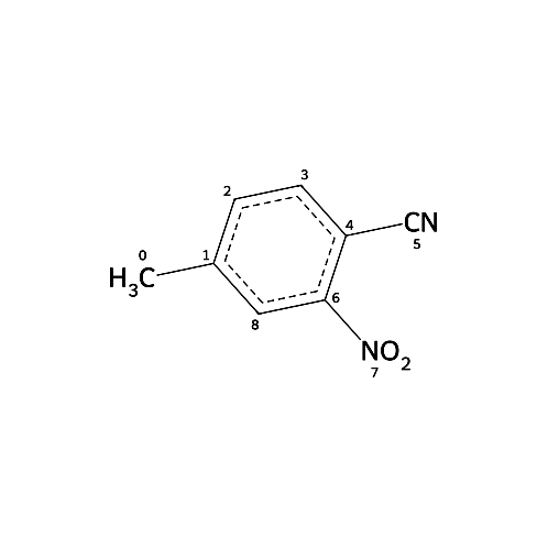 Cc1ccc(C#N)c([N+](=O)[O-])c1